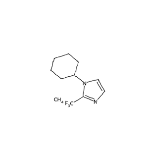 C.FC(F)(F)c1nccn1C1CCCCC1